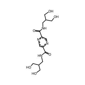 O=C(NCC(CO)CO)c1cnc(C(=O)NCC(CO)CO)cn1